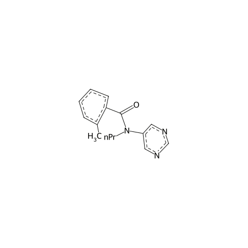 CCCN(C(=O)c1ccccc1C)c1cncnc1